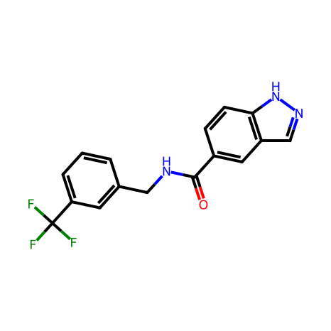 O=C(NCc1cccc(C(F)(F)F)c1)c1ccc2[nH]ncc2c1